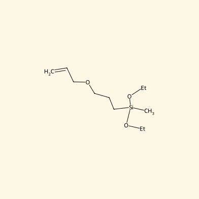 C=CCOCCC[Si](C)(OCC)OCC